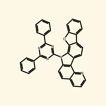 c1ccc(-c2nc(-c3ccccc3)nc(-n3c4ccc5cccnc5c4c4ccc5c6ccccc6oc5c43)n2)cc1